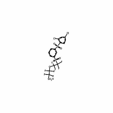 O=S(=O)(c1cccc(S(=O)(=O)C(F)(F)C(F)(F)OC(F)(F)C(F)(F)S(=O)(=O)O)c1)c1ccc(Cl)cc1Cl